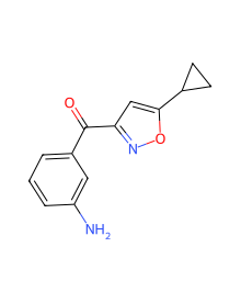 Nc1cccc(C(=O)c2cc(C3CC3)on2)c1